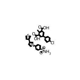 Cc1c(C(=O)O)cc(-c2ccc(Cl)cc2)cc1C(=O)O.NS(=O)(=O)c1ccc(-n2ccc(-c3ccsc3)c2)cc1